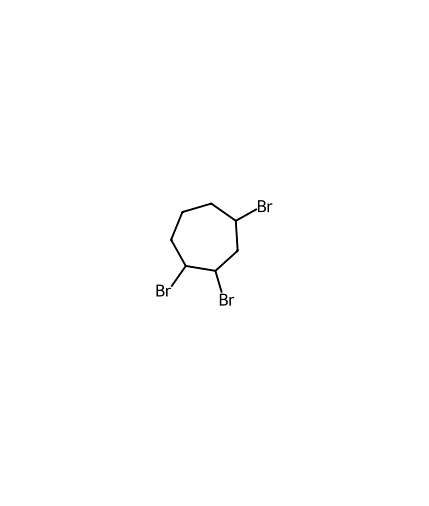 BrC1CCCC(Br)C(Br)C1